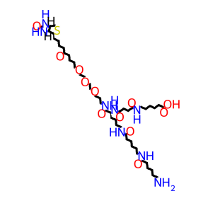 NCCCCCC(=O)NCCCCCC(=O)NCCCC[C@H](NC(=O)CCC(=O)NCCCCCC(=O)O)C(=O)NCCCOCCOCCOCCCCC(=O)CCCC[C@@H]1SC[C@@H]2NC(=O)N[C@@H]21